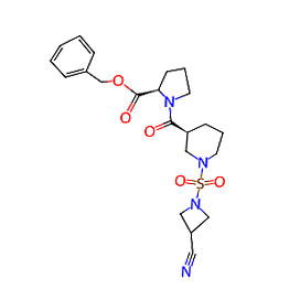 N#CC1CN(S(=O)(=O)N2CCC[C@H](C(=O)N3CCC[C@@H]3C(=O)OCc3ccccc3)C2)C1